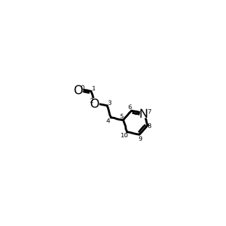 O=COCCC1C=NC=CC1